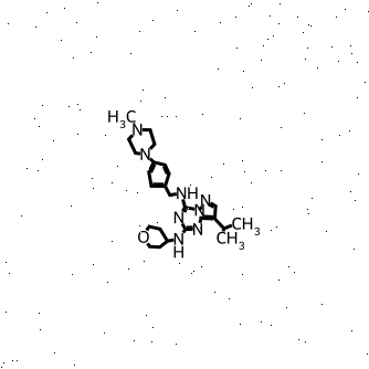 CC(C)c1cnn2c(NCc3ccc(N4CCN(C)CC4)cc3)nc(NC3CCOCC3)nc12